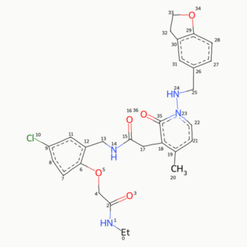 CCNC(=O)COc1ccc(Cl)cc1CNC(=O)Cc1c(C)ccn(NCc2ccc3c(c2)CCO3)c1=O